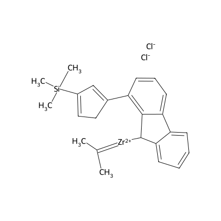 C[C](C)=[Zr+2][CH]1c2ccccc2-c2cccc(C3=CC([Si](C)(C)C)=CC3)c21.[Cl-].[Cl-]